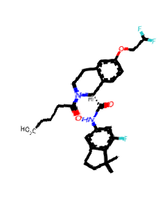 CC1(C)CCc2cc(NC(=O)[C@H]3c4ccc(OCC(F)F)cc4CCN3C(=O)CCCC(=O)O)cc(F)c21